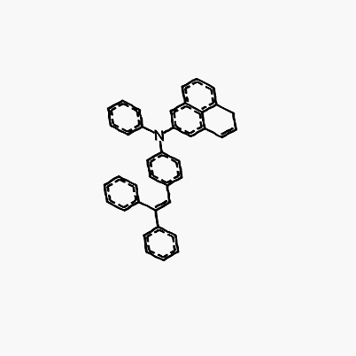 C1=Cc2cc(N(c3ccccc3)c3ccc(C=C(c4ccccc4)c4ccccc4)cc3)cc3cccc(c23)C1